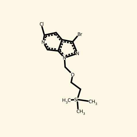 C[Si](C)(C)CCOCn1nc(Br)c2cc(Cl)ncc21